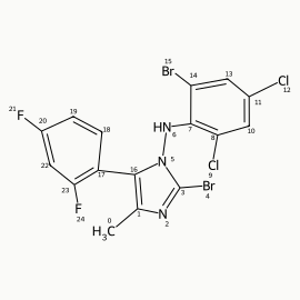 Cc1nc(Br)n(Nc2c(Cl)cc(Cl)cc2Br)c1-c1ccc(F)cc1F